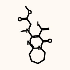 C=C(I)c1c(N(C)CC(=O)OC)nc2n(c1=O)CCCCC2